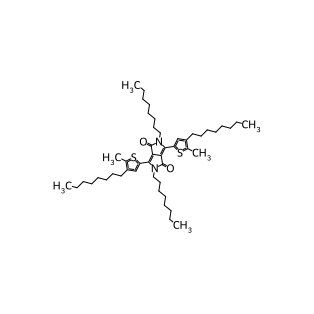 CCCCCCCCc1cc(C2=C3C(=O)N(CCCCCCCC)C(c4cc(CCCCCCCC)c(C)s4)=C3C(=O)N2CCCCCCCC)sc1C